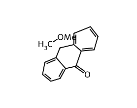 COC.O=C1c2ccccc2Cc2ccccc21